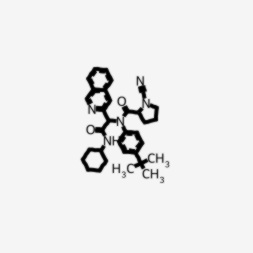 CC(C)(C)c1ccc(N(C(=O)C2CCCN2C#N)C(C(=O)NC2CCCCC2)c2cc3ccccc3cn2)cc1